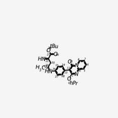 CCCOc1nc2ccccn2c(=O)c1-c1ccc(N[C@H](C)CC(=N)C(=O)OC(C)(C)C)cc1